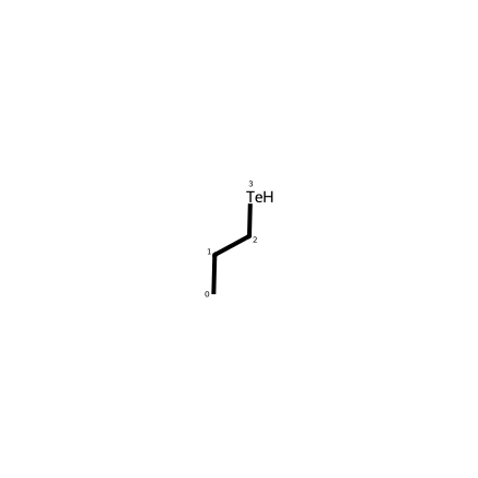 CCC[TeH]